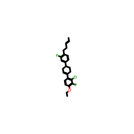 C/C=C/CCc1ccc(C2CC=C(c3ccc(OCC)c(F)c3Cl)CC2)cc1F